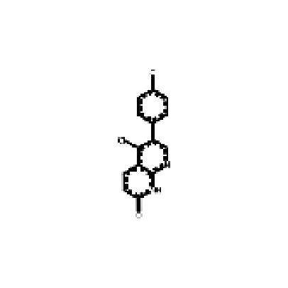 O=c1ccc2c(Cl)c(-c3ccc(Cl)cc3)cnc2[nH]1